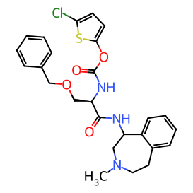 CN1CCc2ccccc2C(NC(=O)[C@@H](COCc2ccccc2)NC(=O)Oc2ccc(Cl)s2)C1